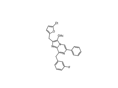 CCc1ccc(Cc2nc3c(Cc4cccc(F)c4)nc(-c4ccccc4)cn3c2OC(C)=O)o1